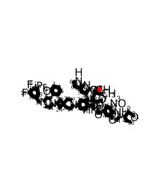 CC(C)Oc1ccccc1[C@@H]1CN(Cc2ccc(F)c(F)c2)CCN1C1CC2(CCN(c3ccc(C(=O)NS(=O)(=O)c4cc5c(c([N+](=O)[O-])c4)N[C@H](C4CCOCC4)CO5)c(N4c5cc6cc[nH]c6nc5O[C@H]5[C@H]4CCOC5(C)C)c3)CC2)C1